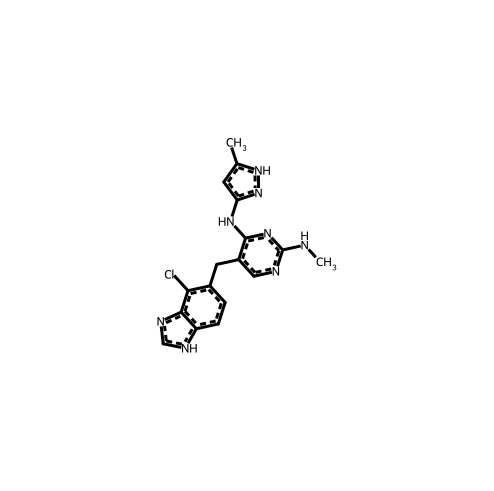 CNc1ncc(Cc2ccc3[nH]cnc3c2Cl)c(Nc2cc(C)[nH]n2)n1